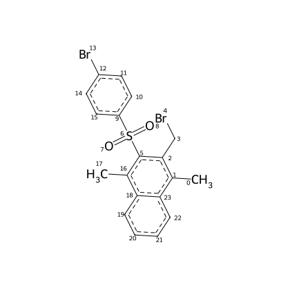 Cc1c(CBr)c(S(=O)(=O)c2ccc(Br)cc2)c(C)c2ccccc12